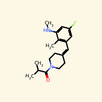 CNc1cc(F)cc(C=C2CCN(C(=O)C(C)C)CC2)c1C